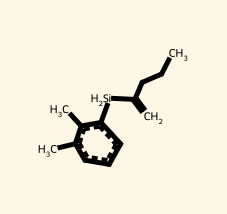 C=C(CCC)[SiH2]c1cccc(C)c1C